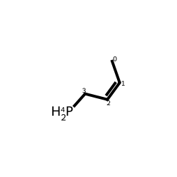 C/C=C\CP